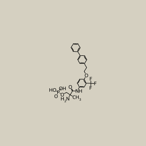 CC(N)(COP(=O)(O)O)C(=O)Nc1ccc(OCCc2ccc(-c3ccccc3)cc2)c(C(F)(F)F)c1